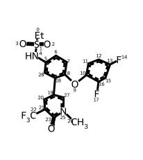 CCS(=O)(=O)Nc1ccc(Oc2ccc(F)cc2F)c(-c2cc(C(F)(F)F)c(=O)n(C)c2)c1